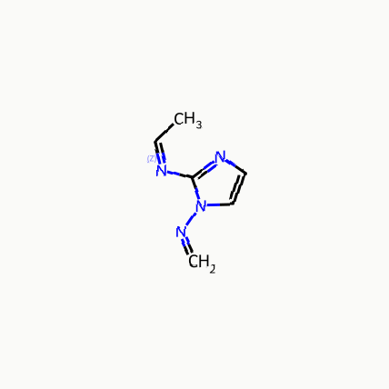 C=Nn1ccnc1/N=C\C